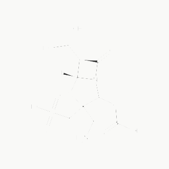 C[C@@H](O)[C@H]1C(=O)N2C(OC(=O)O)C(CN)(CS(=O)(=O)O)S[C@H]12